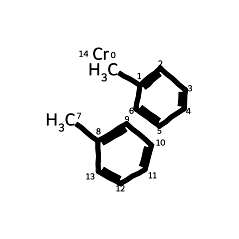 Cc1ccccc1.Cc1ccccc1.[Cr]